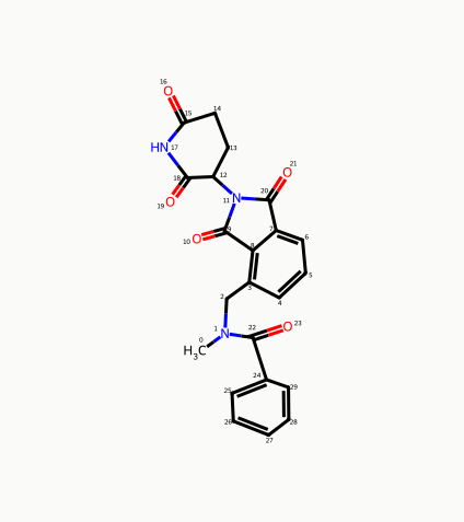 CN(Cc1cccc2c1C(=O)N(C1CCC(=O)NC1=O)C2=O)C(=O)c1ccccc1